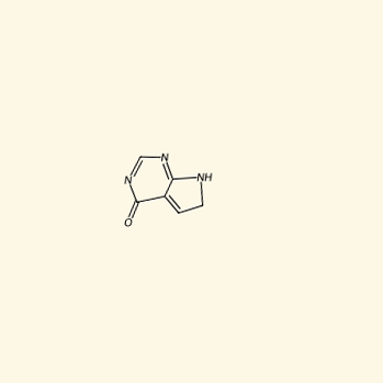 O=C1N=CN=C2NCC=C12